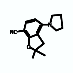 CC1(C)Cc2c(N3CCCC3)ccc(C#N)c2O1